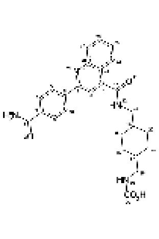 NC(=O)c1ccc(-c2cc(C(=O)NCC3CCC(CNC(=O)O)CC3)c3ccccc3n2)cc1